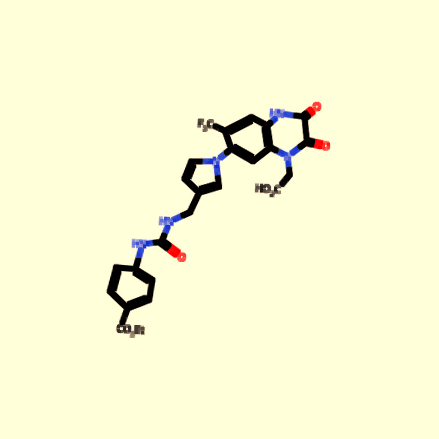 CCOC(=O)c1ccc(NC(=O)NCc2ccn(-c3cc4c(cc3C(F)(F)F)[nH]c(=O)c(=O)n4CC(=O)O)c2)cc1